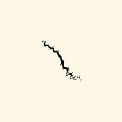 COCOCCC#CC#CCCCCCCBr